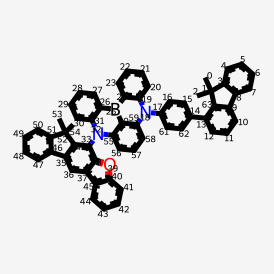 CC1(C)c2ccccc2-c2cccc(-c3ccc(N4c5ccccc5B5c6ccccc6N(c6c7c(cc8c6oc6ccccc68)-c6ccccc6C7(C)C)c6cccc4c65)cc3)c21